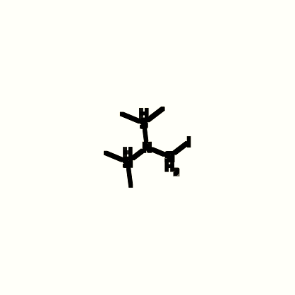 C[SiH](C)N([SiH2]I)[SH](C)C